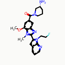 COc1cc(C(=O)N2CCC[C@@H](N)C2)cc2nc(-c3cc4cccnc4n3CCF)n(C)c12